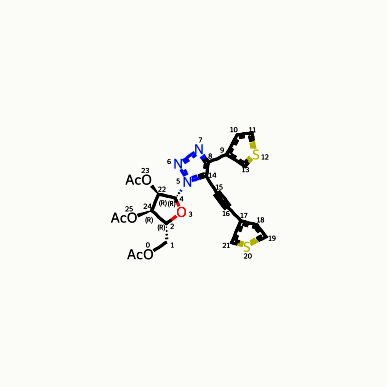 CC(=O)OC[C@H]1O[C@@H](n2nnc(-c3ccsc3)c2C#Cc2ccsc2)[C@H](OC(C)=O)[C@@H]1OC(C)=O